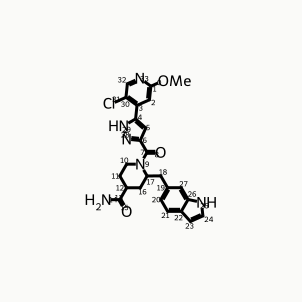 COc1cc(-c2cc(C(=O)N3CCC(C(N)=O)CC3Cc3ccc4cc[nH]c4c3)n[nH]2)c(Cl)cn1